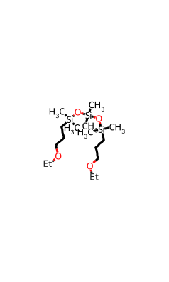 CCOCCC[Si](C)(C)O[Si](C)(C)O[Si](C)(C)CCCOCC